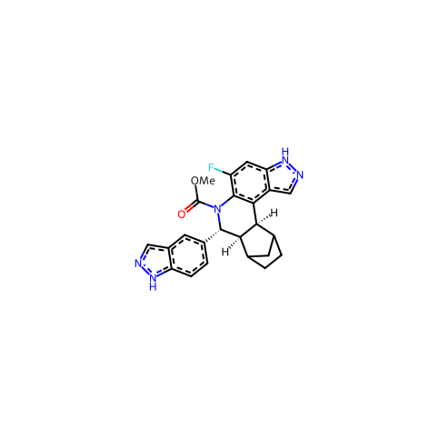 COC(=O)N1c2c(F)cc3[nH]ncc3c2[C@H]2C3CCC(C3)[C@H]2[C@@H]1c1ccc2[nH]ncc2c1